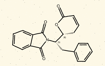 O=C1C=CC[C@H]([C@H](Cc2ccccc2)N2C(=O)c3ccccc3C2=O)O1